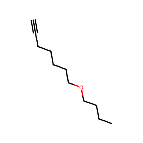 C#CCCCCCOCCCC